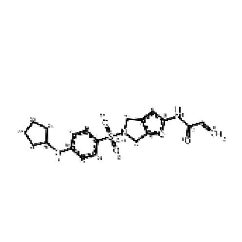 C=CC(=O)Nc1cc2c(o1)CN(S(=O)(=O)c1ccc(OC3CCCC3)cc1)C2